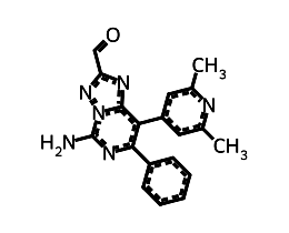 Cc1cc(-c2c(-c3ccccc3)nc(N)n3nc(C=O)nc23)cc(C)n1